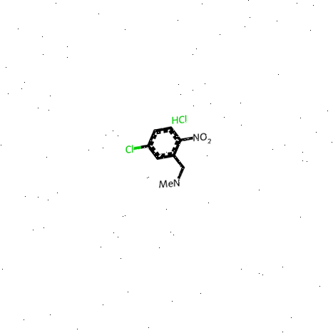 CNCc1cc(Cl)ccc1[N+](=O)[O-].Cl